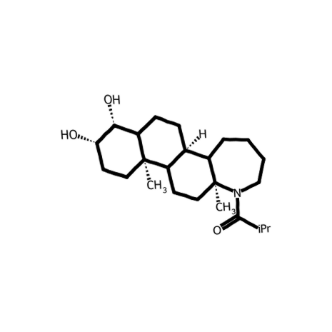 CC(C)C(=O)N1CCCCC2[C@@H]3CCC4[C@@H](O)[C@@H](O)CC[C@]4(C)C3CC[C@@]21C